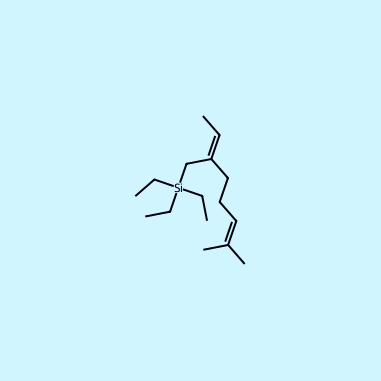 CC=C(CCC=C(C)C)C[Si](CC)(CC)CC